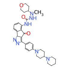 CN(NC(=O)Nc1cccc2c1C(=O)C1=C(c3ccc(N4CCC(N5CCCCC5)CC4)cc3)N=NC12)C1CCOCC1